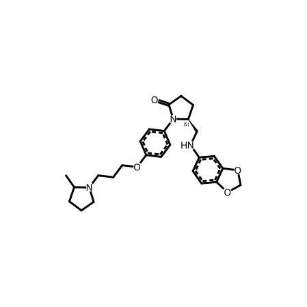 CC1CCCN1CCCOc1ccc(N2C(=O)CC[C@H]2CNc2ccc3c(c2)OCO3)cc1